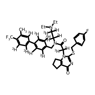 [2H]c1c([2H])c(-c2c([2H])c([2H])c(C(F)(F)F)c(C)c2[2H])c([2H])c([2H])c1CN(C(=O)C([2H])([2H])n1c(SCc2ccc(F)cc2)nc(=O)c2c1CCC2)C([2H])([2H])C([2H])([2H])N(CC)CC